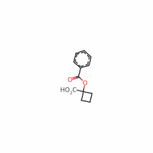 O=C(OC1(C(=O)O)CCC1)c1ccccc1